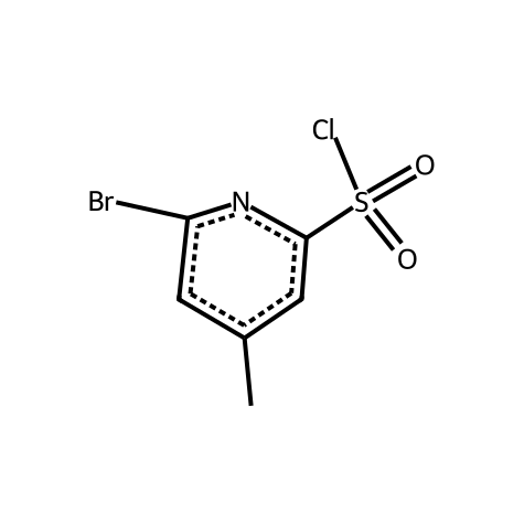 Cc1cc(Br)nc(S(=O)(=O)Cl)c1